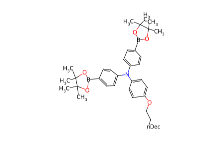 CCCCCCCCCCCCOc1ccc(N(c2ccc(B3OC(C)(C)C(C)(C)O3)cc2)c2ccc(B3OC(C)(C)C(C)(C)O3)cc2)cc1